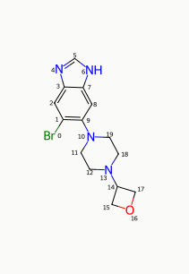 Brc1cc2nc[nH]c2cc1N1CCN(C2COC2)CC1